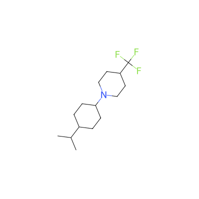 CC(C)C1CCC(N2CCC(C(F)(F)F)CC2)CC1